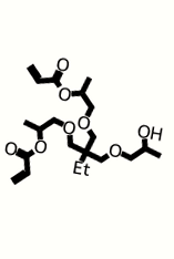 C=CC(=O)OC(C)COCC(CC)(COCC(C)O)COCC(C)OC(=O)C=C